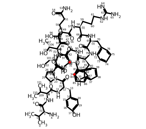 CC(C)[C@H](N)C(=O)N[C@H](C(=O)N[C@@H](Cc1ccc(O)cc1)C(=O)N1CCC[C@H]1C(=O)N[C@@H](Cc1c[nH]c2ccccc12)C(=O)N[C@H](C(=O)N[C@@H](CCC(N)=O)C(=O)N[C@@H](CCCNC(=N)N)C(=O)N[C@@H](Cc1ccccc1)C(=O)N[C@@H](Cc1ccccc1)C(=O)N[C@@H](CCC(=O)O)C(=O)N[C@@H](CO)C(=O)O)[C@@H](C)O)C(C)C